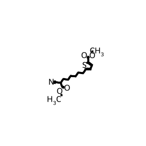 CCOC(=O)C(C#N)CCCCCCc1ccc(C(=O)OC)s1